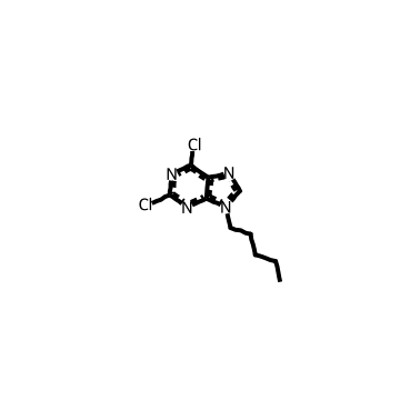 CCCCCn1cnc2c(Cl)nc(Cl)nc21